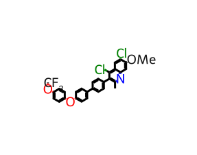 COc1cc2nc(C)c(-c3ccc(-c4ccc(Oc5ccc(OC(F)(F)F)cc5)cc4)cc3)c(Cl)c2cc1Cl